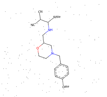 CNC(NCC1CN(Cc2ccc(OC)cc2)CCO1)C(C#N)C#N